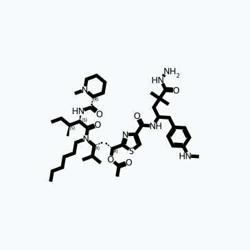 CCCCCCN(C(=O)[C@@H](NC(=O)[C@H]1CCCCN1C)[C@@H](C)CC)[C@H](C[C@@H](OC(C)=O)c1nc(C(=O)NC(Cc2ccc(NC)cc2)CC(C)(C)C(=O)NN)cs1)C(C)C